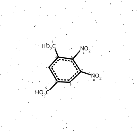 O=C(O)c1cc(C(=O)O)c([N+](=O)[O-])c([N+](=O)[O-])c1